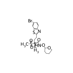 C[C@@](CCc1nc2ccc(Br)cc2s1)(C(=O)NOC1CCCCO1)S(C)(=O)=O